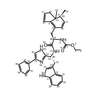 CCOC(=O)N[C@H](CC1=C2C=CCC2(C)[C@@H](C)C=C1)C(=O)N[C@H](Cc1c[nH]c2ccccc12)c1nc(-c2ccccc2)c[nH]1